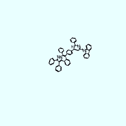 c1ccc(-c2nc(-c3ccc(-c4c(-c5ccccc5)n5nc(-c6ccccc6)c(-c6ccccc6)c5c5ccccc45)cc3)cc(-n3c4ccccc4c4ccccc43)n2)cc1